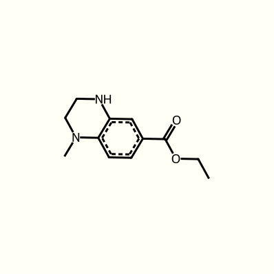 CCOC(=O)c1ccc2c(c1)NCCN2C